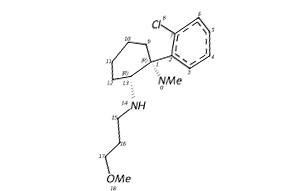 CN[C@@]1(c2ccccc2Cl)CCCC[C@H]1NCCCOC